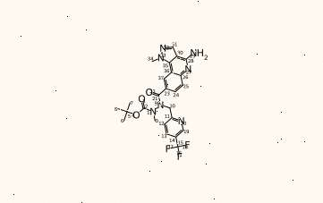 CN(C(=O)OC(C)(C)C)N(Cc1ccc(C(F)(F)F)cn1)C(=O)c1ccc2nc(N)c3cnn(C)c3c2c1